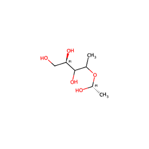 CC(O[C@H](C)O)C(O)[C@H](O)CO